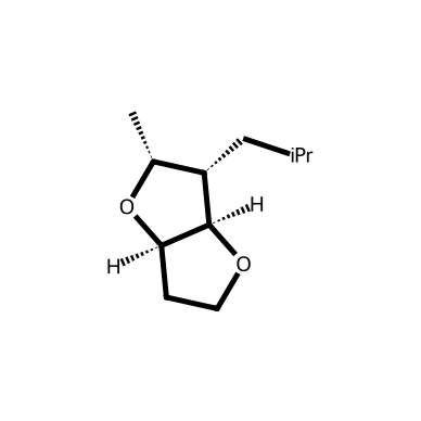 CC(C)C[C@@H]1[C@H]2OCC[C@H]2O[C@@H]1C